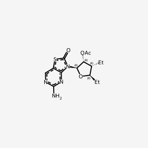 CC[C@H]1[C@@H](OC(C)=O)[C@H](n2c(=O)sc3cnc(N)nc32)O[C@@H]1CC